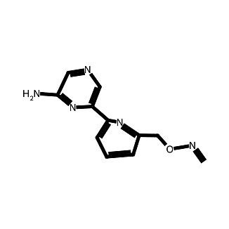 C=NOCc1cccc(-c2cncc(N)n2)n1